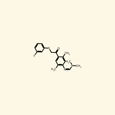 Cc1cc(C(=O)CSc2cccc(F)c2)c(C)cc1/N=C\N(C)C